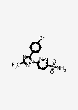 NS(=O)(=O)c1ccc(-n2nc(C(F)(F)F)nc2-c2ccc(Br)cc2)nn1